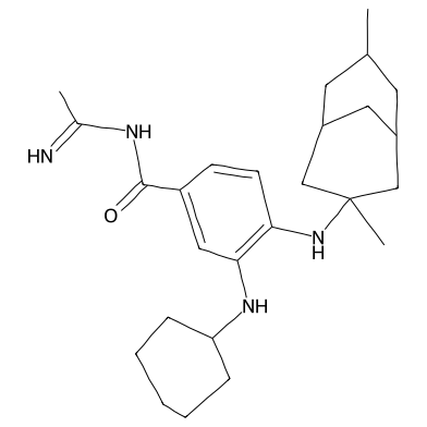 CC(=N)NC(=O)c1ccc(NC2(C)CC3CC(C)CC(C3)C2)c(NC2CCCCC2)c1